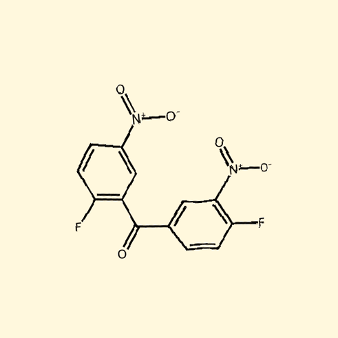 O=C(c1ccc(F)c([N+](=O)[O-])c1)c1cc([N+](=O)[O-])ccc1F